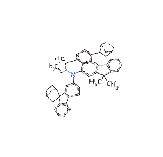 C=C/C(=C(\C)c1ccc(C2CC3CCC2C3)cc1)N(c1ccc2c(c1)C(C)(C)c1ccccc1-2)c1ccc2c(c1)C1(CC3CCC1C3)c1ccccc1-2